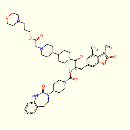 Cc1cc(C[C@@H](OC(=O)N2CCC(N3CCc4ccccc4NC3=O)CC2)C(=O)N2CCC(C3CCN(CC(=O)OCCCN4CCOCC4)CC3)CC2)cc2oc(=O)n(C)c12